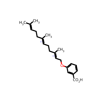 CC(C)=CCC/C(C)=C/CC/C(C)=C/COc1cccc(C(=O)O)c1